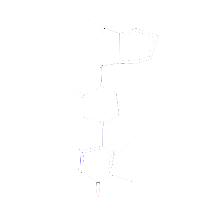 Cn1nc(N2CCN(C(=O)c3ccccc3C(F)(F)F)C(=O)C2)c(=O)n(C)c1=O